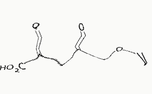 O=C(C[O][V])CC(=O)C(=O)O